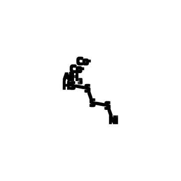 SSS[S][Ni].[AlH3].[Co].[Co]